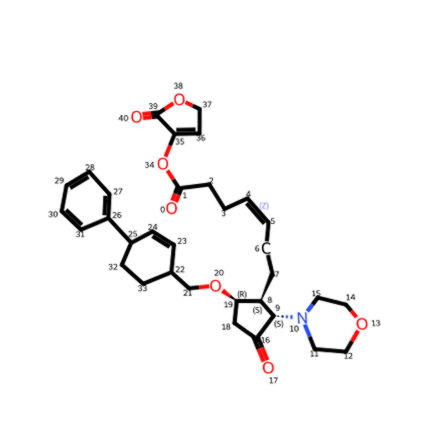 O=C(CC/C=C\CC[C@H]1[C@H](N2CCOCC2)C(=O)C[C@H]1OCC1C=CC(c2ccccc2)CC1)OC1=CCOC1=O